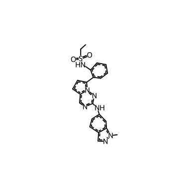 CCS(=O)(=O)Nc1ccccc1-c1ccc2cnc(Nc3ccc4cnn(C)c4c3)nn12